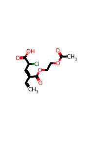 C=CC(=CC(Cl)C(=O)O)C(=O)OCCOC(C)=O